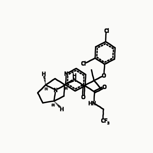 CC(C)(Oc1ccc(Cl)cc1Cl)C(=O)N[C@H]1C[C@H]2CC[C@@H](C1)N2c1cc(C(=O)NCC(F)(F)F)ccn1